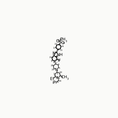 CCC1CC(N2CCC(c3ccc4nc(-c5ccc(S(C)(=O)=O)cc5)[nH]c4c3F)CC2)CC(C)N1CC(C)C